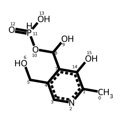 Cc1ncc(CO)c(C(O)O[PH](=O)O)c1O